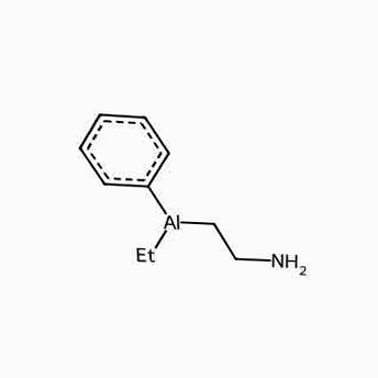 C[CH2][Al]([CH2]CN)[c]1ccccc1